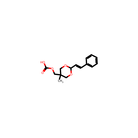 CC1(COC(=O)O)COC(C=Cc2ccccc2)OC1